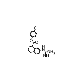 N=C(N)Nc1ccc2c(c1)C(C(=O)Oc1ccc(Cl)cc1)CCC2